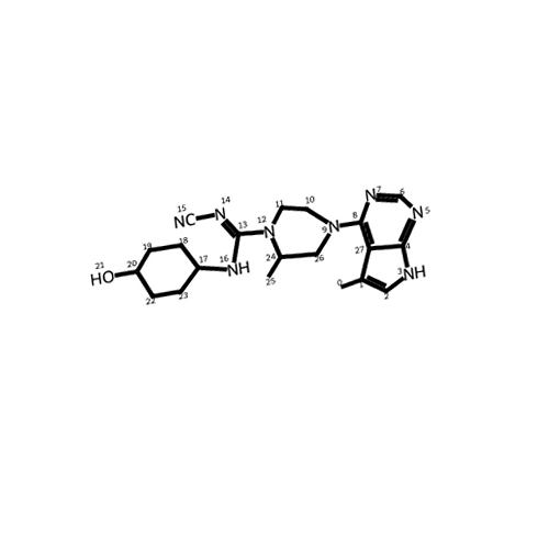 Cc1c[nH]c2ncnc(N3CCN(C(=NC#N)NC4CCC(O)CC4)C(C)C3)c12